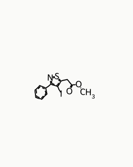 COC(=O)Cc1snc(-c2ccccc2)c1I